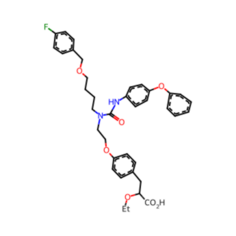 CCOC(Cc1ccc(OCCN(CCCCOCc2ccc(F)cc2)C(=O)Nc2ccc(Oc3ccccc3)cc2)cc1)C(=O)O